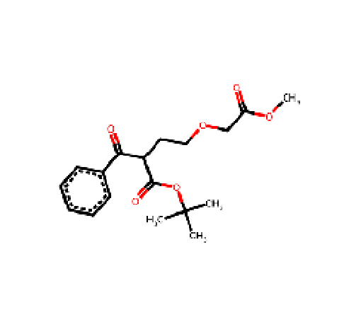 COC(=O)COCCC(C(=O)OC(C)(C)C)C(=O)c1ccccc1